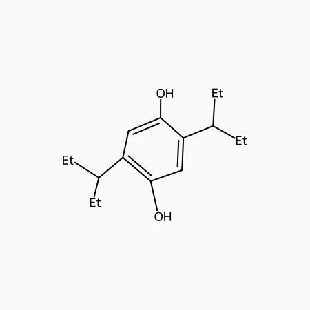 CCC(CC)c1cc(O)c(C(CC)CC)cc1O